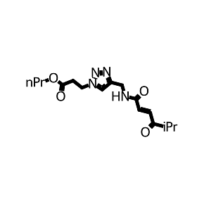 CCCOC(=O)CCn1cc(CNC(=O)/C=C/C(=O)C(C)C)nn1